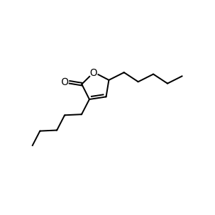 CCCCCC1=CC(CCCCC)OC1=O